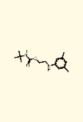 Cc1cc(C)cc(NCCOC(=O)NC(C)(C)C)c1